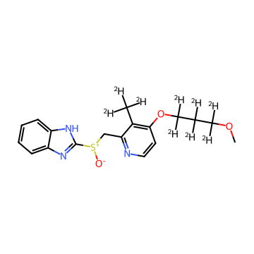 [2H]C([2H])([2H])c1c(OC([2H])([2H])C([2H])([2H])C([2H])([2H])OC)ccnc1C[S+]([O-])c1nc2ccccc2[nH]1